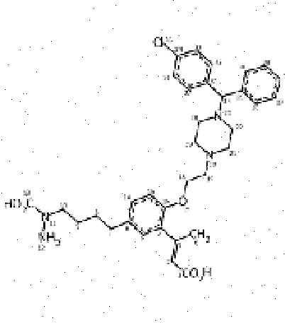 C/C(=C\C(=O)O)c1cc(CCCCN(N)C(=O)O)ccc1OCCN1CCN(C(c2ccccc2)c2ccc(Cl)cc2)CC1